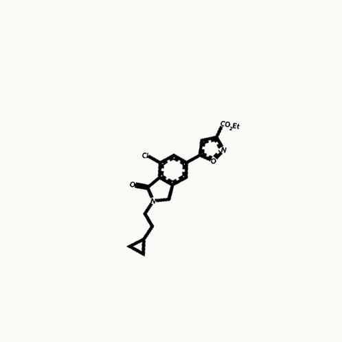 CCOC(=O)c1cc(-c2cc(Cl)c3c(c2)CN(CCC2CC2)C3=O)on1